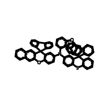 c1ccc2c(c1)Sc1ccc(N(c3ccc4c(c3)C3(c5cc6ccccc6cc5O4)c4ccccc4-c4ccccc43)c3cccc4oc5ccccc5c34)cc1C21c2ccccc2-c2ccccc21